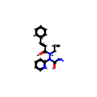 NC(=O)N(c1ccccn1)N(C[C]=O)C(=O)/C=C/c1ccccc1